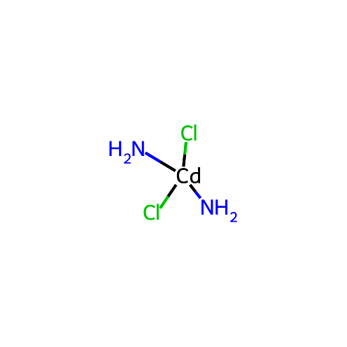 [NH2][Cd]([NH2])([Cl])[Cl]